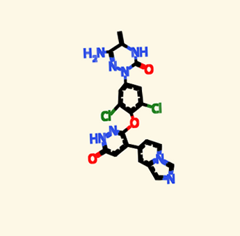 C=C1NC(=O)N(c2cc(Cl)c(Oc3n[nH]c(=O)cc3-c3ccn4cncc4c3)c(Cl)c2)N=C1N